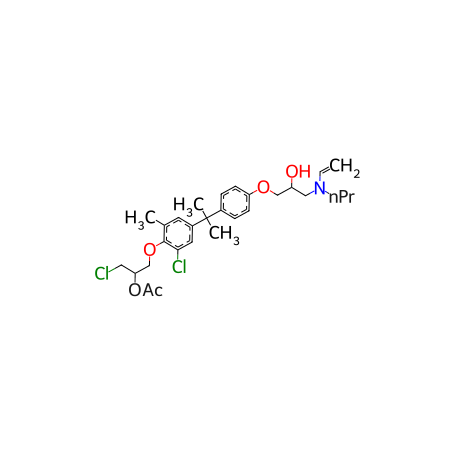 C=CN(CCC)CC(O)COc1ccc(C(C)(C)c2cc(C)c(OCC(CCl)OC(C)=O)c(Cl)c2)cc1